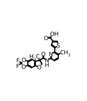 Cc1ccc(NC(=O)[C@@]2(C)COc3cc4c(cc32)OC(F)(F)O4)nc1-c1cc(C(=O)O)cs1